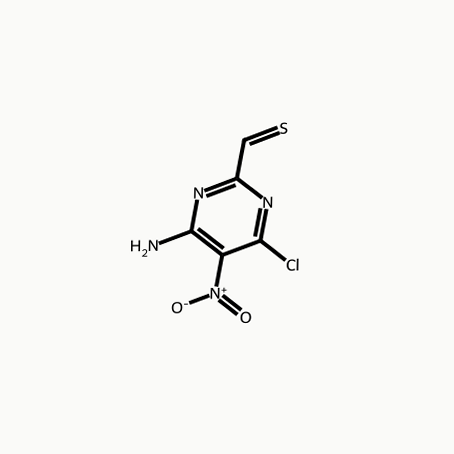 Nc1nc(C=S)nc(Cl)c1[N+](=O)[O-]